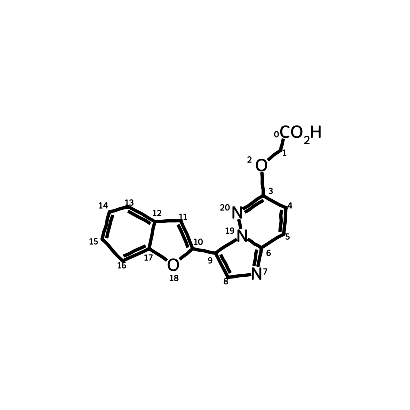 O=C(O)COc1ccc2ncc(-c3cc4ccccc4o3)n2n1